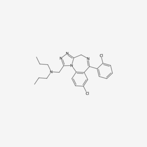 CCCN(CCC)Cc1nnc2n1-c1ccc(Cl)cc1C(c1ccccc1Cl)=NC2